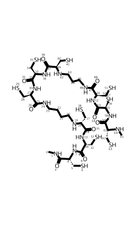 CNC(=O)[C@@H](CS)NC(=O)[C@@H](CS)NC(=O)[C@@H](CS)NCCCCNC(=O)[C@@H](CS)NC(=O)[C@@H](CS)NC(=O)[C@@H](CS)NCCCNC(=O)[C@@H](CS)NC(=O)[C@@H](CS)NC(=O)[C@@H](CS)NC